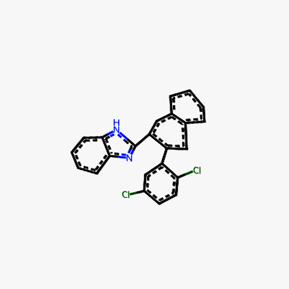 Clc1ccc(Cl)c(-c2cc3ccccc3cc2-c2nc3ccccc3[nH]2)c1